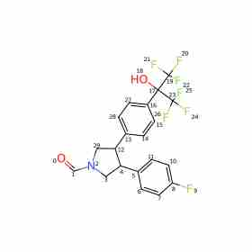 O=CN1CC(c2ccc(F)cc2)C(c2ccc(C(O)(C(F)(F)F)C(F)(F)F)cc2)C1